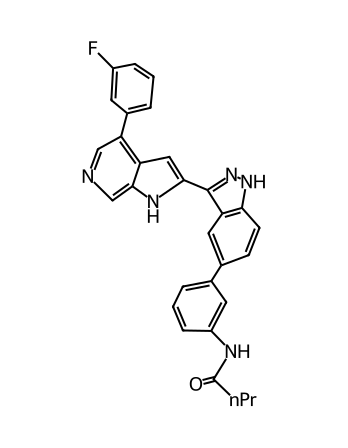 CCCC(=O)Nc1cccc(-c2ccc3[nH]nc(-c4cc5c(-c6cccc(F)c6)cncc5[nH]4)c3c2)c1